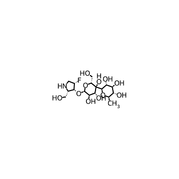 C[C@H]1O[C@@H]([C@]2(O)[C@H](O)[C@@H](O)[C@@H](O[C@@H]3[C@H](CO)NC[C@@H]3F)O[C@@H]2CO)[C@H](O)[C@@H](O)[C@@H]1O